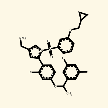 CNCc1cc(-c2ccc(OC(C)c3cc(F)cc(F)c3)cc2F)n(S(=O)(=O)c2cccc(OCC3CC3)c2)c1